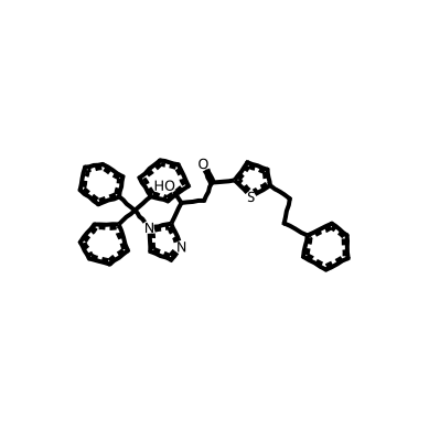 O=C(CC(O)c1nccn1C(c1ccccc1)(c1ccccc1)c1ccccc1)c1ccc(CCc2ccccc2)s1